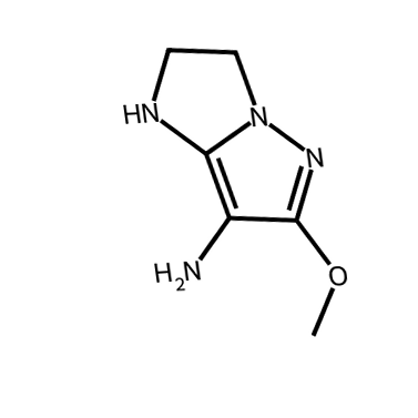 COc1nn2c(c1N)NCC2